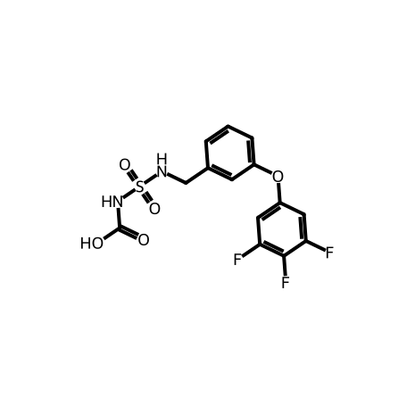 O=C(O)NS(=O)(=O)NCc1cccc(Oc2cc(F)c(F)c(F)c2)c1